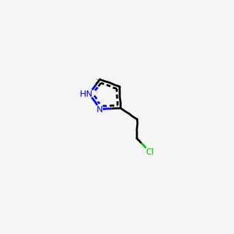 ClCCc1c[c][nH]n1